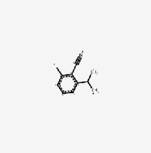 C[C](C)c1cccc(I)c1C#N